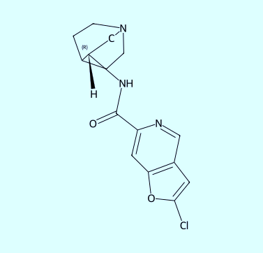 O=C(N[C@H]1CN2CCC1CC2)c1cc2oc(Cl)cc2cn1